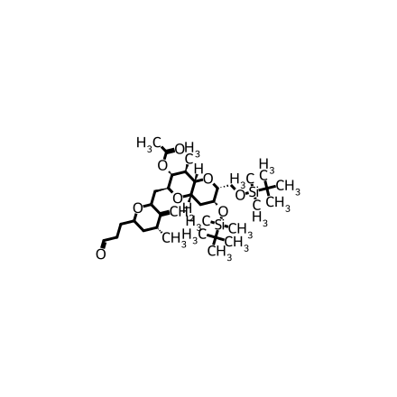 C=C1C(C[C@@H]2O[C@H]3C[C@@H](O[Si](C)(C)C(C)(C)C)[C@@H](CO[Si](C)(C)C(C)(C)C)O[C@H]3[C@H](C)[C@H]2OC(C)=O)OC(CCC=O)C[C@H]1C